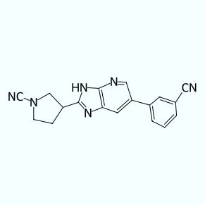 N#Cc1cccc(-c2cnc3[nH]c(C4CCN(C#N)C4)nc3c2)c1